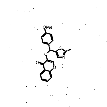 COc1ccc(C(Oc2coc3ccccc3c2=O)c2cnc(C)s2)cc1